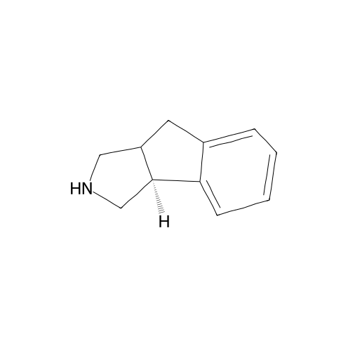 c1ccc2c(c1)CC1CNC[C@H]21